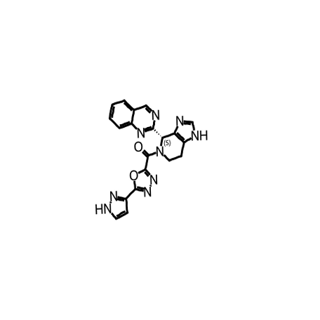 O=C(c1nnc(-c2cc[nH]n2)o1)N1CCc2[nH]cnc2[C@H]1c1ncc2ccccc2n1